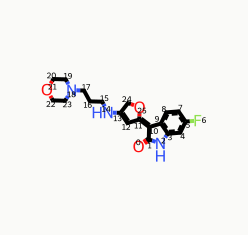 O=C1Nc2cc(F)ccc2/C1=C1/C=C(NCCCN2CCOCC2)CO1